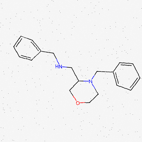 c1ccc(CNCC2COCCN2Cc2ccccc2)cc1